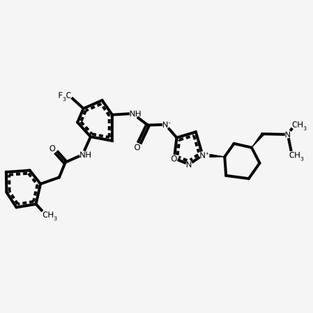 Cc1ccccc1CC(=O)Nc1cc(NC(=O)[N-]c2c[n+]([C@@H]3CCC[C@H](CN(C)C)C3)no2)cc(C(F)(F)F)c1